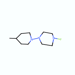 CC1CCN(N2CCN(F)CC2)CC1